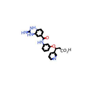 N=C(N)Nc1cccc(C(=O)Nc2cccc(OC(CC(=O)O)c3cccnc3)c2)c1